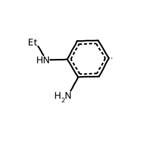 CCNc1cc[c]cc1N